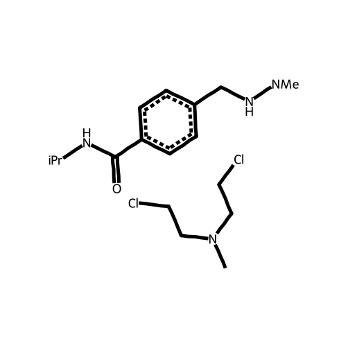 CN(CCCl)CCCl.CNNCc1ccc(C(=O)NC(C)C)cc1